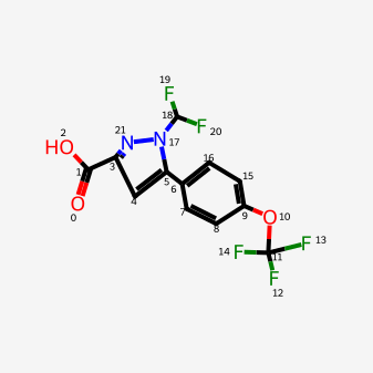 O=C(O)c1cc(-c2ccc(OC(F)(F)F)cc2)n(C(F)F)n1